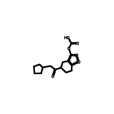 O=C(O)Oc1noc2c1CN(C(=O)CC1CCCC1)CC2